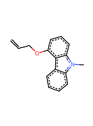 C=CCOc1cccc2c1c1ccccc1n2C